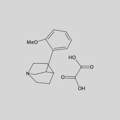 COc1ccccc1C1CN2CCC1CC2.O=C(O)C(=O)O